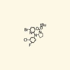 CC(C)(C)OC(=O)N1CCCC1N(c1ccc(F)c(Cl)c1)c1cccc(Br)n1